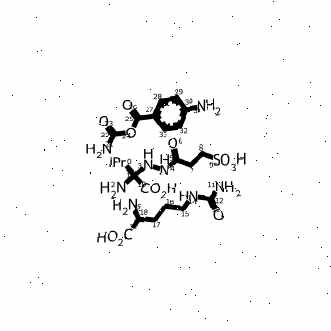 CC(C)C(N)(NNC(=O)CCS(=O)(=O)O)C(=O)O.NC(=O)NCCCC(N)C(=O)O.NC(=O)OC(=O)c1ccc(N)cc1